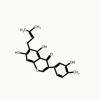 CC(C)=CCc1c(O)cc2occ(-c3ccc(C)c(O)c3)c(=O)c2c1O